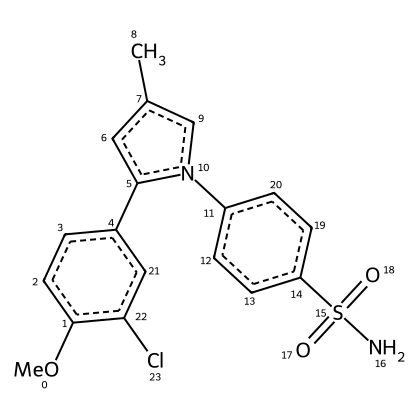 COc1ccc(-c2cc(C)cn2-c2ccc(S(N)(=O)=O)cc2)cc1Cl